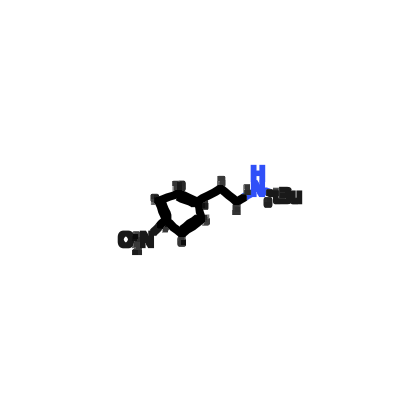 CC(C)(C)NCCc1ccc([N+](=O)[O-])cc1